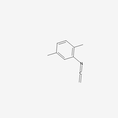 C=C=Nc1cc(C)ccc1C